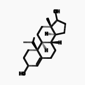 CC(C)[C@]12CCC(O)C=C1CC[C@@H]1[C@@H]2CC[C@]2(C)C(O)CC[C@@H]12